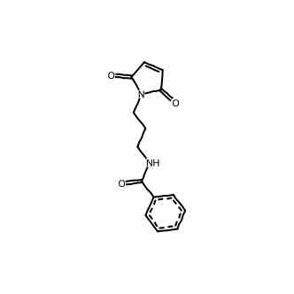 O=C(NCCCN1C(=O)C=CC1=O)c1ccccc1